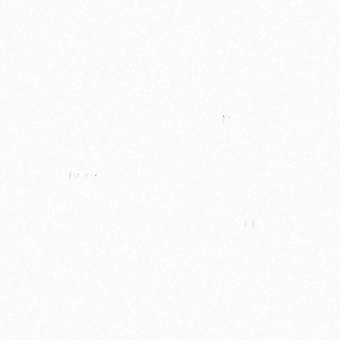 CCCCCCOc1ccc(/C=N\c2ccc(C)cc2)cc1